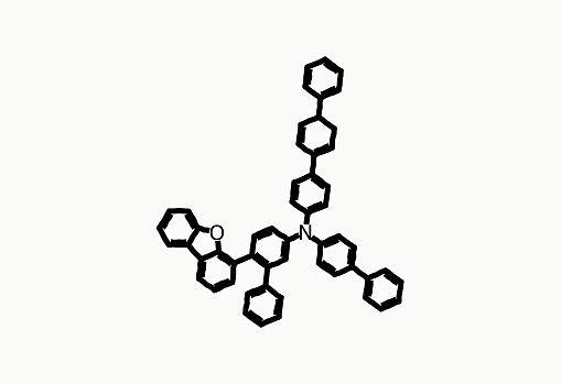 C1=CC(c2ccccc2)CC=C1c1ccc(N(c2ccc(-c3ccccc3)cc2)c2ccc(-c3cccc4c3oc3ccccc34)c(-c3ccccc3)c2)cc1